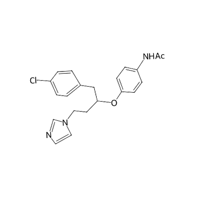 CC(=O)Nc1ccc(OC(CCn2ccnc2)Cc2ccc(Cl)cc2)cc1